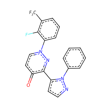 O=c1ccn(-c2cccc(C(F)(F)F)c2F)nc1-c1ccnn1-c1ccccc1